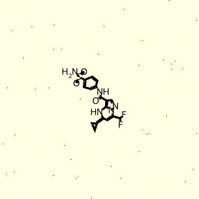 NS(=O)(=O)c1ccc(NC(=O)c2cnn3c2NC(=C2CC2)C=C3C(F)F)cc1